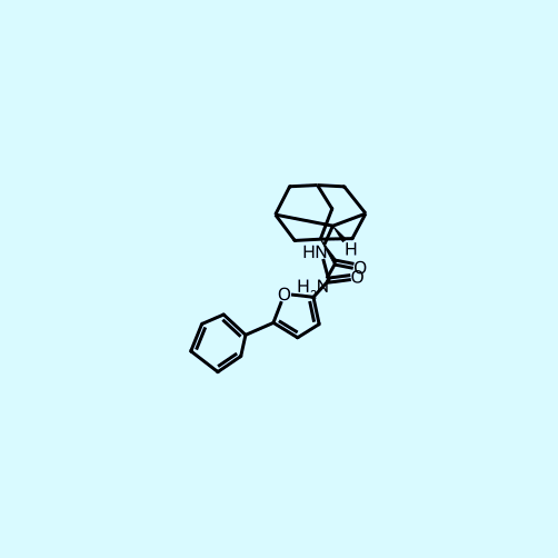 NC(=O)[C@]12CC3CC(C1)[C@@H](NC(=O)c1ccc(-c4ccccc4)o1)C(C3)C2